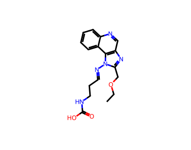 CCOCc1nc2cnc3ccccc3c2n1/N=C/CCNC(=O)O